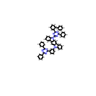 c1ccc(-c2nc(-c3ccccc3)nc(-c3cccc(-n4c5ccccc5c5cc6c(cc54)c4ccccc4n6-c4nc(-c5ccccc5)nc(-c5ccccc5-c5ccccc5)n4)c3)n2)cc1